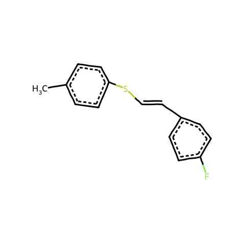 Cc1ccc(S/C=C/c2ccc(F)cc2)cc1